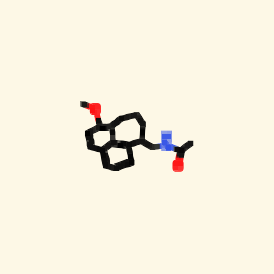 COc1ccc2cccc3c2c1CCCC3CNC(C)=O